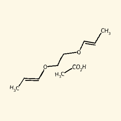 CC(=O)O.CC=COCCOC=CC